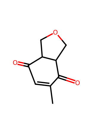 CC1=CC(=O)C2COCC2C1=O